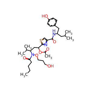 CCCCC(=O)N(OCCCO)C(CC(OC(C)=O)c1nc(C(=O)NC(Cc2ccc(O)cc2)CC(C)C)cs1)C(C)C